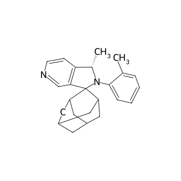 Cc1ccccc1N1[C@@H](C)c2ccncc2C12C1CC3CC(C1)CC2C3